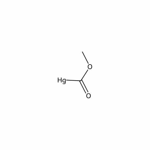 CO[C](=O)[Hg]